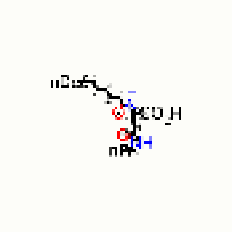 CCCCCCCCCCCCCCCC(=O)N[C@@H](CCC(=O)NCCC)C(=O)O